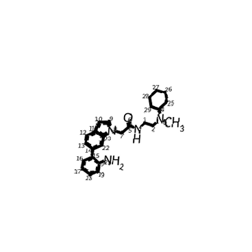 CN(CCNC(=O)Cn1ccc2ccc(-c3ccccc3N)cc21)C1CCCCC1